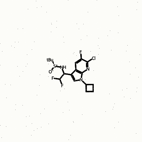 CC(C)(C)[S@+]([O-])NC(c1cn(C2CCC2)c2nc(Cl)c(F)cc12)C(F)F